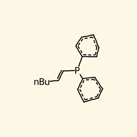 CCCCC=CP(c1ccccc1)c1ccccc1